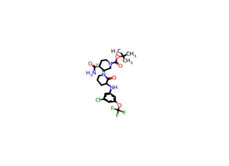 CC(C)(C)OC(=O)N1CC[C@H](C(N)=O)[C@@H](N2CCCC(Nc3cc(Cl)cc(OC(F)(F)F)c3)C2=O)C1